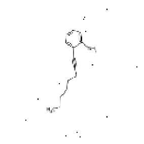 CCCCCCC#Cc1ccccc1N